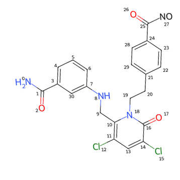 NC(=O)c1cccc(NCc2c(Cl)cc(Cl)c(=O)n2CCc2ccc(C(=O)N=O)cc2)c1